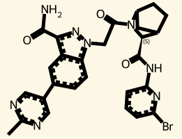 Cc1ncc(-c2ccc3c(c2)c(C(N)=O)nn3CC(=O)N2C3CCC(C3)[C@H]2C(=O)Nc2cccc(Br)n2)cn1